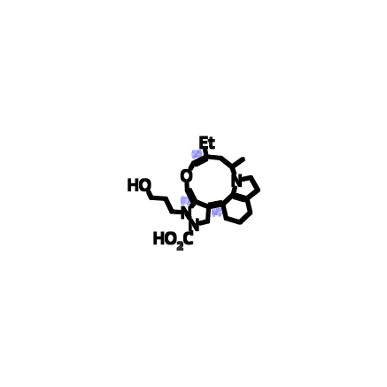 CC/C1=C/O/C=C2\C(=C3\CCCC4=C3N(CC4)C(C)C1)CN(C(=O)O)N2CCCO